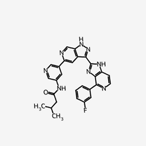 CC(C)CC(=O)Nc1cncc(-c2cc3c(-c4nc5c(-c6cccc(F)c6)nccc5[nH]4)n[nH]c3cn2)c1